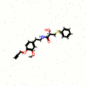 C#CCOc1ccc(CCNC(=O)[C@@H](O)CSc2ccccc2)cc1OC